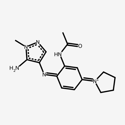 CC(=O)NC1=CC(=[N+]2CCCC2)C=C/C1=N/c1cnn(C)c1N